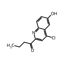 CCCC(=O)c1cc(Cl)c2cc(O)ccc2n1